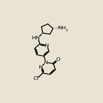 N[C@H]1CC[C@H](Nc2ccc(-n3nc(Cl)ccc3=O)cn2)C1